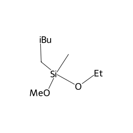 CCO[Si](C)(CC(C)CC)OC